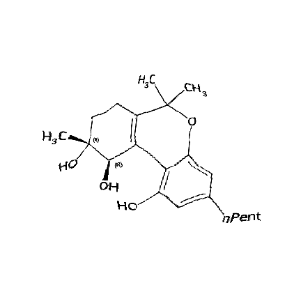 CCCCCc1cc(O)c2c(c1)OC(C)(C)C1=C2[C@@H](O)[C@](C)(O)CC1